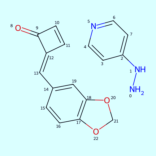 NNc1ccncc1.O=C1C=CC1=Cc1ccc2c(c1)OCO2